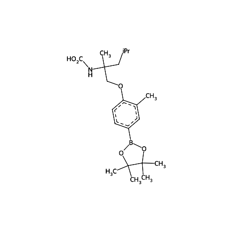 Cc1cc(B2OC(C)(C)C(C)(C)O2)ccc1OCC(C)(CC(C)C)NC(=O)O